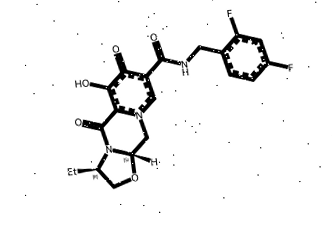 CC[C@@H]1CO[C@H]2Cn3cc(C(=O)NCc4ccc(F)cc4F)c(=O)c(O)c3C(=O)N12